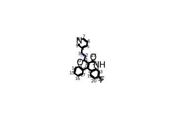 O=C(/C=C/c1cccnc1)c1c(-c2ccccc2)c2ccc(F)cc2[nH]c1=O